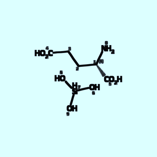 N[C@@H](CCC(=O)O)C(=O)O.O[SiH](O)O